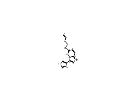 C=CCCOc1ccc2ncc(-c3ccsc3)n2n1